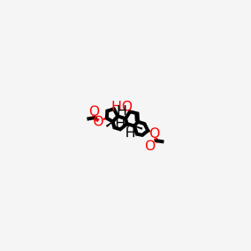 CC(=O)O[C@H]1CC[C@@]2(C)C(=C[C@@H](O)[C@H]3[C@@H]4CC[C@H](OC(C)=O)[C@@]4(C)CC[C@@H]32)C1